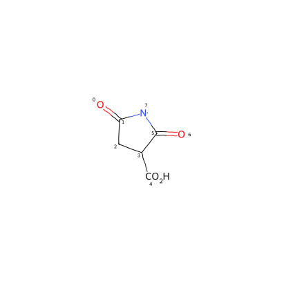 O=C1CC(C(=O)O)C(=O)[N]1